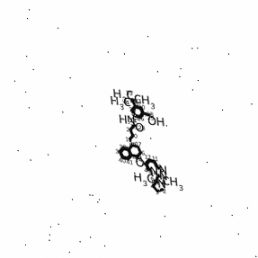 CN1CCC[C@@]1(C)c1nnc2ccc(O[C@@H]3CC[C@H](CCCC(=O)Nc4cc(CO)cc(C(C)(C)C)c4)c4ccccc43)cn12